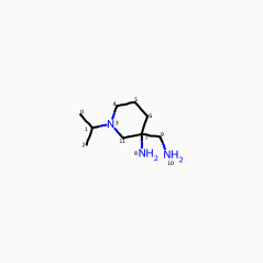 CC(C)N1CCCC(N)(CN)C1